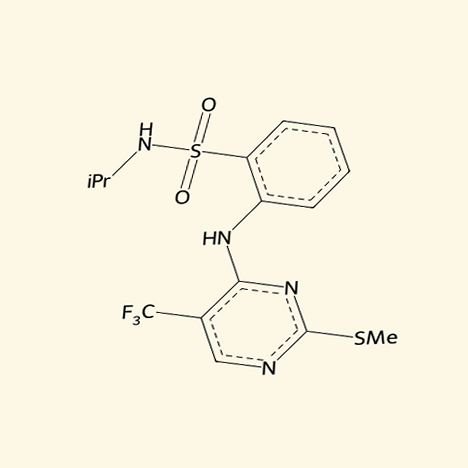 CSc1ncc(C(F)(F)F)c(Nc2ccccc2S(=O)(=O)NC(C)C)n1